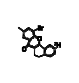 [2H]c1ccc2c(c1)-c1oc3c(Br)cc(C)cc3c(=O)c1CC2